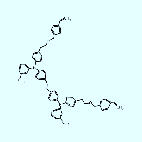 C=Cc1ccc(COCCc2ccc(N(c3ccc(CCc4ccc(N(c5ccc(CCOCc6ccc(C=C)cc6)cc5)c5cccc(C)c5)cc4)cc3)c3cccc(C)c3)cc2)cc1